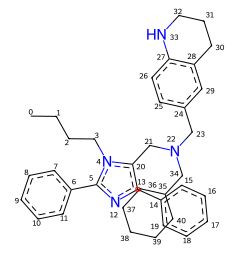 CCCCn1c(-c2ccccc2)nc(-c2ccccc2)c1CN(Cc1ccc2c(c1)CCCN2)CC1CCCCC1